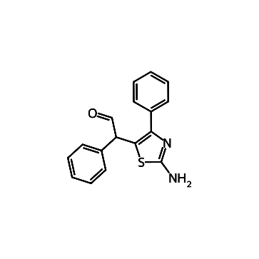 Nc1nc(-c2ccccc2)c(C(C=O)c2ccccc2)s1